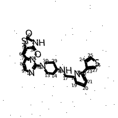 O=C1NC(=O)/C(=C\c2ccnc(N3CCC(NCc4cccc(-c5ccsc5)n4)CC3)n2)S1